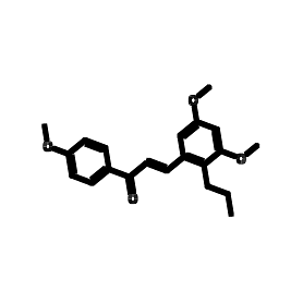 CCCc1c(/C=C/C(=O)c2ccc(OC)cc2)cc(OC)cc1OC